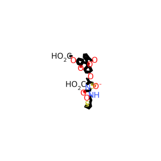 O=C(O)COc1ccc2c(c1)Oc1cc(OCC3=C(C(=O)O)N4C(=O)C(NC(=O)Cc5cccs5)C4[S+]([O-])C3)ccc1C21OC(=O)c2ccccc21